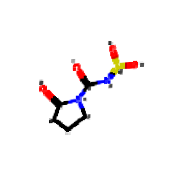 O=C1CCCN1C(=O)N=S(=O)=O